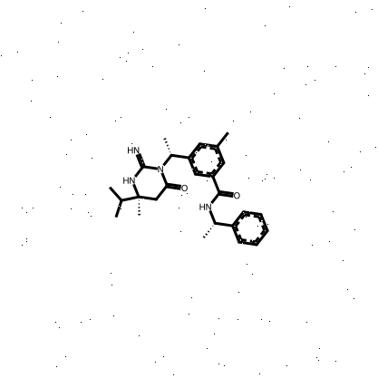 Cc1cc(C(=O)N[C@@H](C)c2ccccc2)cc([C@@H](C)N2C(=N)N[C@](C)(C(C)C)CC2=O)c1